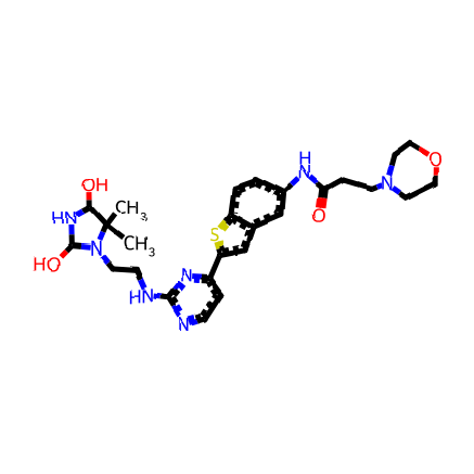 CC1(C)C(O)NC(O)N1CCNc1nccc(-c2cc3cc(NC(=O)CCN4CCOCC4)ccc3s2)n1